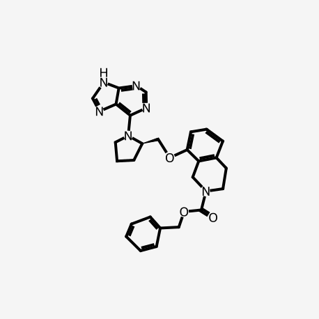 O=C(OCc1ccccc1)N1CCc2cccc(OC[C@H]3CCCN3c3ncnc4[nH]cnc34)c2C1